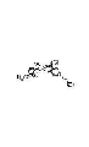 COc1ccc2nccc(C(O)CC[C@@H]3CCN(CCCc4cccnc4)C[C@@H]3C(=O)O)c2c1